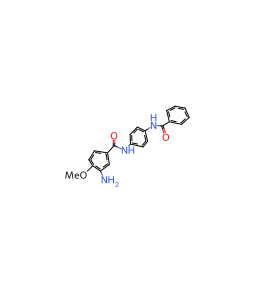 COc1ccc(C(=O)Nc2ccc(NC(=O)c3ccccc3)cc2)cc1N